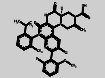 C=C1CN2c3c(c(=O)n(-c4c(C)ccnc4C(C)C)c4nc(-c5c(F)cccc5OC)c(Cl)cc34)NC(=O)[C@H]2CN1C(=O)O